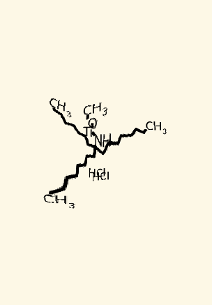 CCCCCCCCCC(CCCCCCCC)(CCCCCCCC)[NH][Ti][O]CC.Cl.Cl